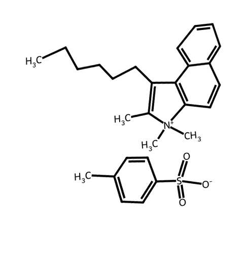 CCCCCCC1=C(C)[N+](C)(C)c2ccc3ccccc3c21.Cc1ccc(S(=O)(=O)[O-])cc1